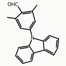 Cc1cc(-n2c3ccccc3c3ccccc32)cc(C)c1C=O